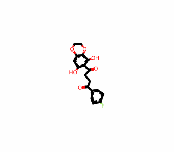 O=C(CCC(=O)c1c(O)cc2c(c1O)OCCO2)c1ccc(F)cc1